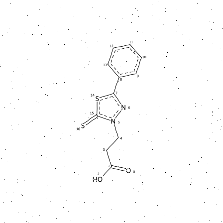 O=C(O)CCn1nc(-c2ccccc2)sc1=S